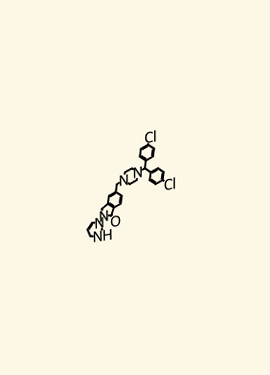 O=C1c2ccc(CN3CCN(C(c4ccc(Cl)cc4)c4ccc(Cl)cc4)CC3)cc2CN1N1C=CCNC1